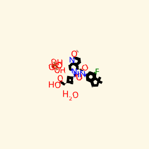 COc1ccc2c(n1)CCN(C(=O)[C@H]1C[C@@H](CC(=O)O)C1)[C@H]2C(=O)Nc1cc(F)c2c(c1)CCC2(C)C.O.O=S(=O)(O)O